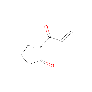 C=CC(=O)C1CCCC1=O